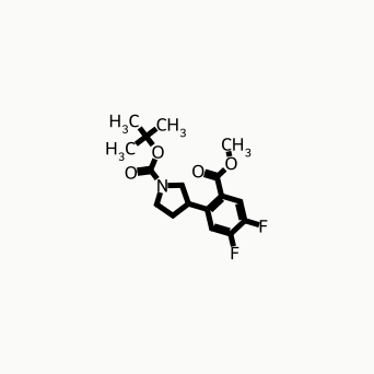 COC(=O)c1cc(F)c(F)cc1C1CCN(C(=O)OC(C)(C)C)C1